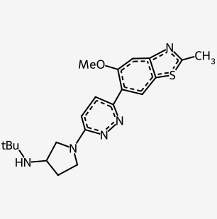 COc1cc2nc(C)sc2cc1-c1ccc(N2CCC(NC(C)(C)C)C2)nn1